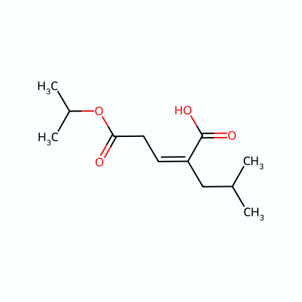 CC(C)CC(=CCC(=O)OC(C)C)C(=O)O